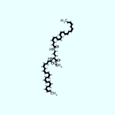 CC/C=C\C/C=C\C/C=C\C/C=C\C/C=C\C/C=C\CCC(=O)NCCC[C@H](NC(=O)CC/C=C\C/C=C\C/C=C\C/C=C\C/C=C\C/C=C\CC)C(=O)OC